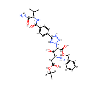 CC(C)C(NC(=O)c1ccc(-c2nnn(C(C(=O)OCc3ccccc3)C(=O)C(N)CC(=O)OC(C)(C)C)n2)cc1)C(N)=O